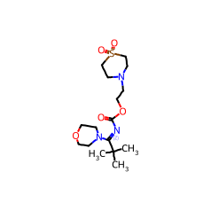 CC(C)(C)/C(=N/C(=O)OCCN1CCS(=O)(=O)CC1)N1CCOCC1